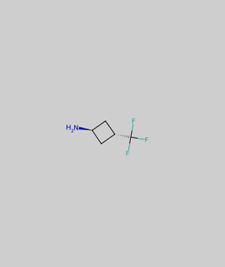 N[C@H]1C[C@H](C(F)(F)F)C1